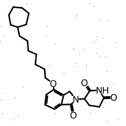 O=C1CCC(N2Cc3c(OCCCCCCCC4CCCCCC4)cccc3C2=O)C(=O)N1